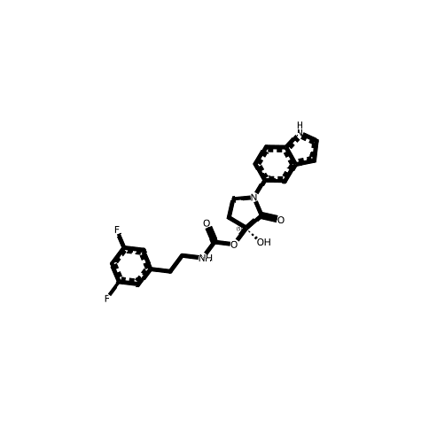 O=C(NCCc1cc(F)cc(F)c1)O[C@@]1(O)CCN(c2ccc3[nH]ccc3c2)C1=O